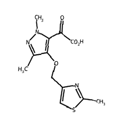 Cc1nc(COc2c(C)nn(C)c2C(=O)C(=O)O)cs1